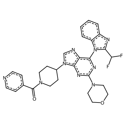 O=C(c1ccncc1)N1CCC(n2cnc3c(-n4c(C(F)F)nc5ccccc54)nc(N4CCOCC4)nc32)CC1